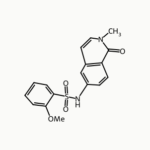 COc1ccccc1S(=O)(=O)Nc1ccc2c(=O)n(C)ccc2c1